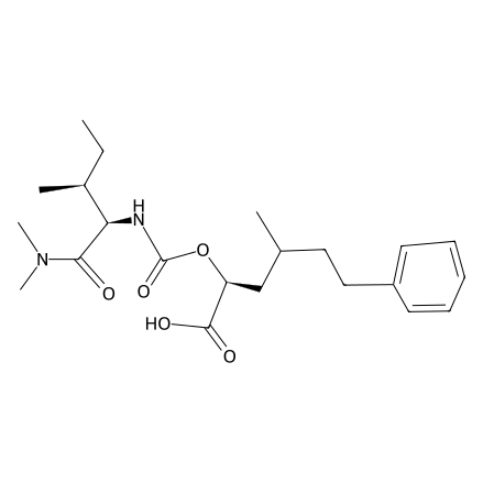 CC[C@H](C)[C@@H](NC(=O)O[C@@H](CC(C)CCc1ccccc1)C(=O)O)C(=O)N(C)C